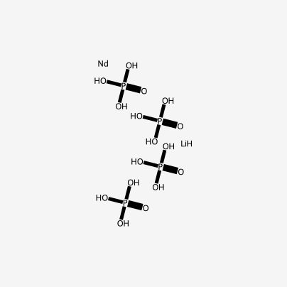 O=P(O)(O)O.O=P(O)(O)O.O=P(O)(O)O.O=P(O)(O)O.[LiH].[Nd]